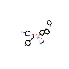 NC1CCN(C(=O)[C@H](NS(=O)(=O)c2ccc3cc(OC4CCCC4)ccc3c2)C(F)(F)c2ccc(Br)cc2)CC1.O=C(O)C(F)(F)F